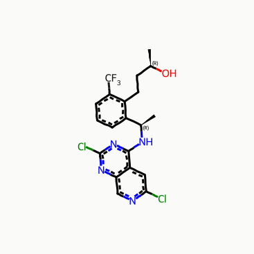 C[C@@H](O)CCc1c([C@@H](C)Nc2nc(Cl)nc3cnc(Cl)cc23)cccc1C(F)(F)F